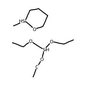 CCO[SiH](OCC)OCC.C[SiH]1CCCCO1